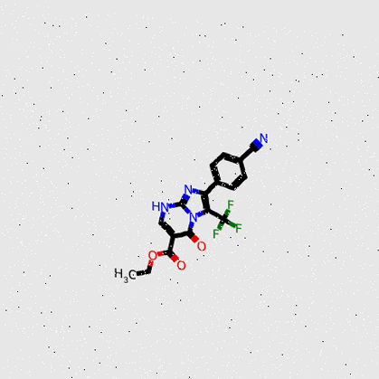 CCOC(=O)c1c[nH]c2nc(-c3ccc(C#N)cc3)c(C(F)(F)F)n2c1=O